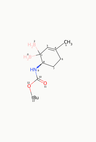 BC1(B)C=C(C)CC[C@H]1NC(=O)OC(C)(C)C